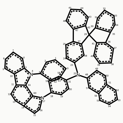 c1ccc(-n2c3ccccc3c3ccc4ccn(-c5ccc(N(c6ccc7c(c6)C6(c8ccccc8-c8ccccc86)c6ccccc6-7)c6ccc7ccccc7c6)cc5)c4c32)cc1